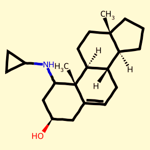 C[C@@]12CCC[C@H]1[C@@H]1CC=C3C[C@@H](O)CC(NC4CC4)[C@]3(C)[C@H]1CC2